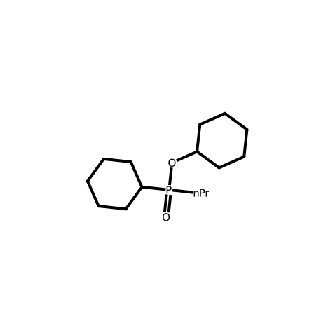 CCCP(=O)(OC1CCCCC1)C1CCCCC1